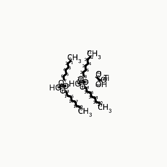 CCCCCCCCOP(=O)(O)OCCCCCCCC.CCCCCCCCOP(=O)(O)OCCCCCCCC.O=CC(=O)O.[Ti]